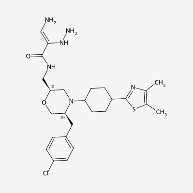 Cc1nc(C2CCC(N3C[C@H](CNC(=O)/C(=C/N)NN)OC[C@@H]3Cc3ccc(Cl)cc3)CC2)sc1C